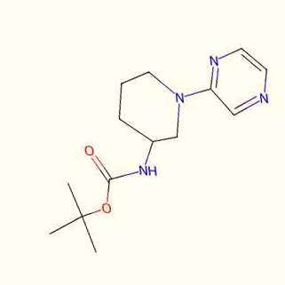 CC(C)(C)OC(=O)NC1CCCN(c2cnccn2)C1